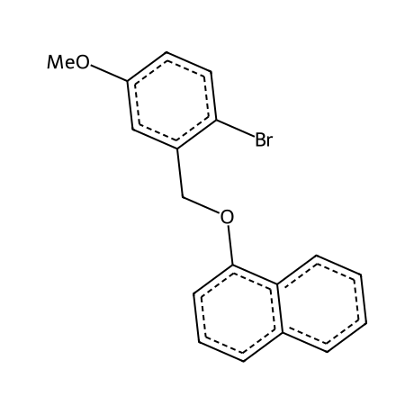 COc1ccc(Br)c(COc2cccc3ccccc23)c1